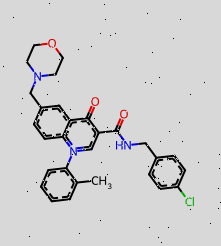 Cc1ccccc1-n1cc(C(=O)NCc2ccc(Cl)cc2)c(=O)c2cc(CN3CCOCC3)ccc21